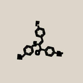 O=C(C(=Cc1ccc(F)cc1)Sc1ccc(Br)cc1)c1ccc(Br)cc1